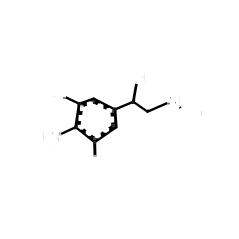 CC(C)(C)NCC(O)c1cc(F)c(N)c(Cl)c1